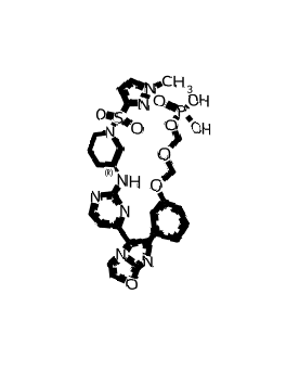 Cn1ccc(S(=O)(=O)N2CCC[C@@H](Nc3nccc(-c4c(-c5cccc(OCOCOP(=O)(O)O)c5)nc5occn45)n3)C2)n1